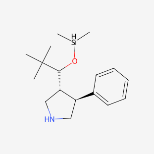 C[SiH](C)OC([C@H]1CNC[C@@H]1c1ccccc1)C(C)(C)C